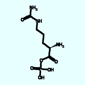 NC(=O)NCCC[C@H](N)C(=O)OP(=O)(O)O